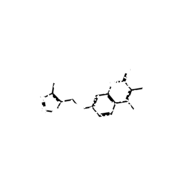 Cc1nnsc1COc1ccc2c(C)c(C)c(=O)oc2c1